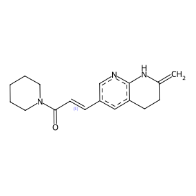 C=C1CCc2cc(/C=C/C(=O)N3CCCCC3)cnc2N1